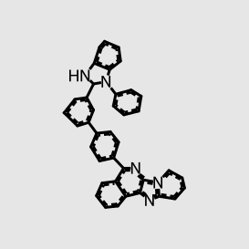 c1ccc(N2c3ccccc3NC2c2cccc(-c3ccc(-c4nc5c(nc6ccccn65)c5ccccc45)cc3)c2)cc1